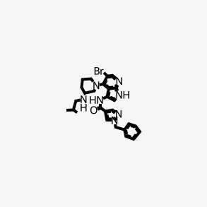 CC(C)CN[C@@H]1CCCN(c2c(Br)cnc3[nH]cc(NC(=O)c4cnn(Cc5ccccc5)c4)c23)C1